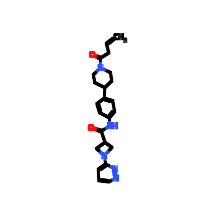 C=CCC(=O)N1CCC(c2ccc(NC(=O)C3CN(c4cccnn4)C3)cc2)CC1